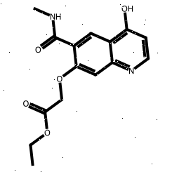 CCOC(=O)COc1cc2nccc(O)c2cc1C(=O)NC